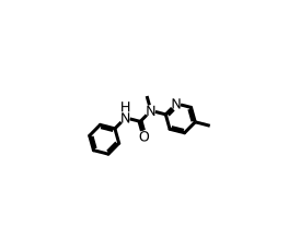 Cc1ccc(N(C)C(=O)Nc2ccccc2)nc1